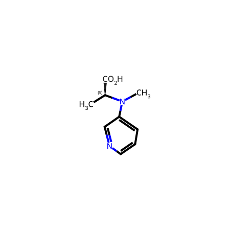 C[C@@H](C(=O)O)N(C)c1cccnc1